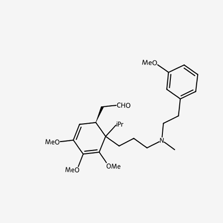 COC1=C[C@@H](CC=O)C(CCCN(C)CCc2cccc(OC)c2)(C(C)C)C(OC)=C1OC